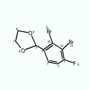 Fc1ccc(C2OCCO2)c(Br)c1Br